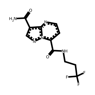 NC(=O)c1cnn2c(C(=O)NCCC(F)(F)F)ccnc12